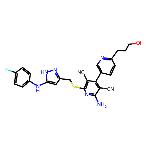 N#Cc1c(N)nc(SCc2cc(Nc3ccc(F)cc3)[nH]n2)c(C#N)c1-c1ccc(CCCO)nc1